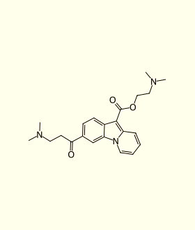 CN(C)CCOC(=O)c1c2ccc(C(=O)CCN(C)C)cc2n2ccccc12